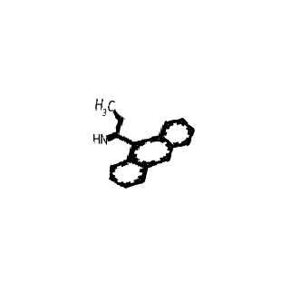 CCC(=N)c1c2ccccc2cc2ccccc12